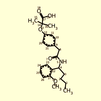 CCCCC(NC(=O)Cc1ccc(OC(C)(C)C(=O)O)cc1)c1ccccc1OC